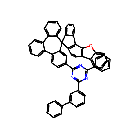 c1ccc(-c2cccc(-c3nc(-c4ccccc4)nc(-c4ccc5c(c4)C4(c6ccccc6-c6ccccc6-5)c5ccccc5-c5c4ccc4c5oc5ccccc54)n3)c2)cc1